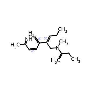 C=C(CC)N(C)CC(=C\CC)/C(/C=C\C(C)=N)=C/C